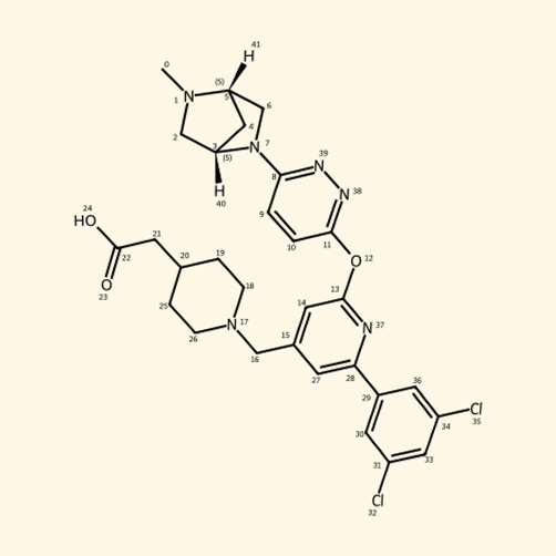 CN1C[C@@H]2C[C@H]1CN2c1ccc(Oc2cc(CN3CCC(CC(=O)O)CC3)cc(-c3cc(Cl)cc(Cl)c3)n2)nn1